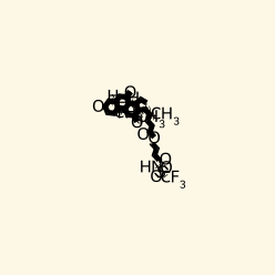 C[C@H](CCC(=O)OCCCC(=O)NS(=O)(=O)C(F)(F)F)[C@H]1CC[C@H]2[C@@H]3C(=O)C[C@@H]4CC(=O)CC[C@]4(C)[C@H]3CC(=O)[C@]12C